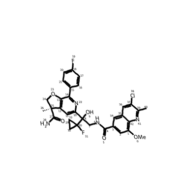 COc1cc(C(=O)NCC(O)(c2cc3c(c(-c4ccc(F)cc4)n2)OC[C@]3(C)C(N)=O)C2(F)CC2)cc2cc(Cl)c(C)nc12